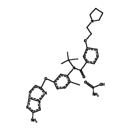 Cc1ccc(Oc2ccc3nc(N)cn3n2)cc1N(C(=O)c1cccc(OCCN2CCCC2)c1)C(C)(C)C.NC(=O)O